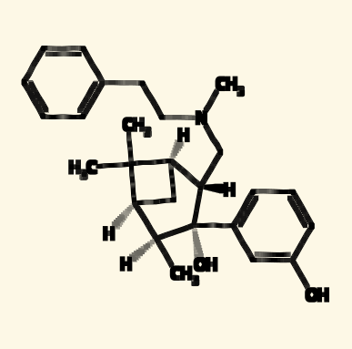 C[C@H]1[C@@H]2C[C@H]([C@H](CN(C)CCc3ccccc3)[C@@]1(O)c1cccc(O)c1)C2(C)C